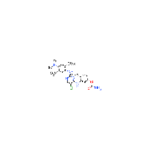 CCN(CC)c1cc(OC)c(Nc2ncc(Cl)c(Nc3cc(OC(N)=O)ccc3OC)n2)cc1[N+](=O)[O-]